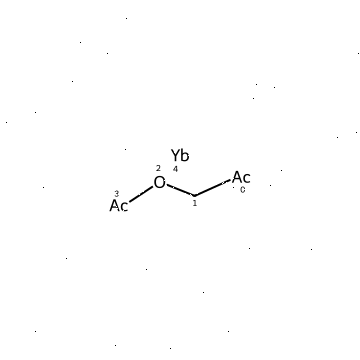 CC(=O)COC(C)=O.[Yb]